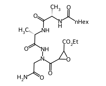 CCCCCCC(=O)N[C@@H](C)C(=O)N[C@@H](C)C(=O)NN(CC(N)=O)C(=O)C1OC1C(=O)OCC